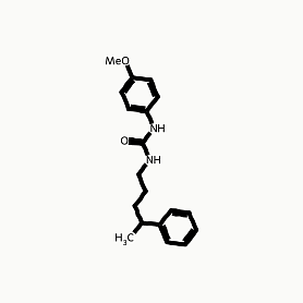 COc1ccc(NC(=O)NCCCC(C)c2ccccc2)cc1